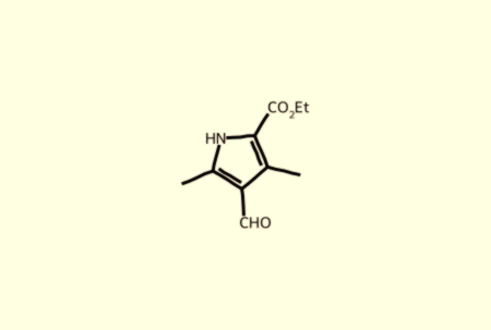 CCOC(=O)c1[nH]c(C)c(C=O)c1C